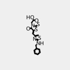 O=C(O)CN1C(=O)/C(=C/c2csc(NCc3ccccc3)n2)SC1=S